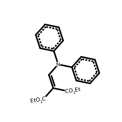 CCOC(=O)C(=CN(c1ccccc1)c1ccccc1)C(=O)OCC